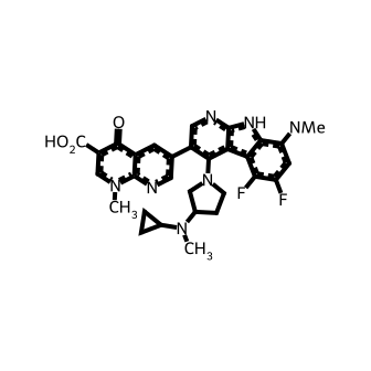 CNc1cc(F)c(F)c2c1[nH]c1ncc(-c3cnc4c(c3)c(=O)c(C(=O)O)cn4C)c(N3CCC(N(C)C4CC4)C3)c12